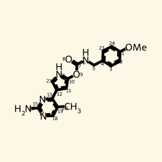 COc1ccc(CNC(=O)Oc2cc(-c3nc(N)ncc3C)c[nH]2)cc1